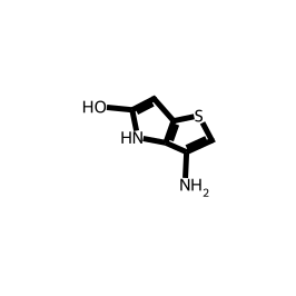 Nc1csc2cc(O)[nH]c12